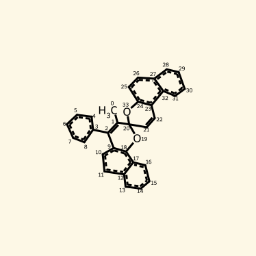 CC1=C(c2ccccc2)c2ccc3ccccc3c2OC12C=Cc1c(ccc3ccccc13)O2